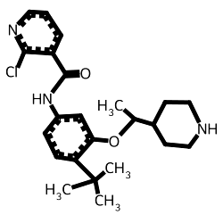 CC(Oc1cc(NC(=O)c2cccnc2Cl)ccc1C(C)(C)C)C1CCNCC1